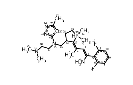 CC(/C=C(\N)c1c(F)cccc1F)=C1\C(CN(CCN(C)C)c2nnc(C)o2)CC[PH]1(C)C